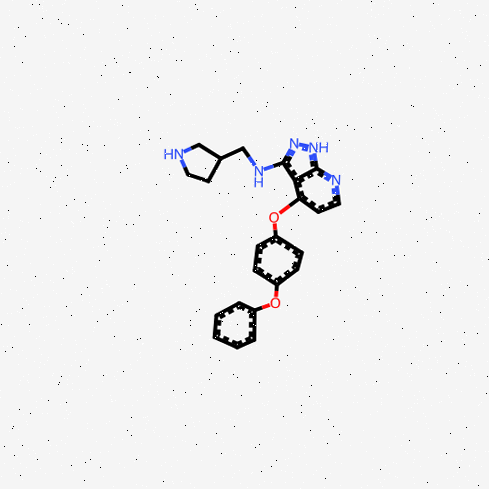 c1ccc(Oc2ccc(Oc3ccnc4[nH]nc(NCC5CCNC5)c34)cc2)cc1